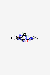 CN1CCN(CCC(=O)Nc2cc(Nc3cc(-c4cc(Cl)ccc4F)nnc3CO[Si](C)(C)C(C)(C)C)ccn2)CC1